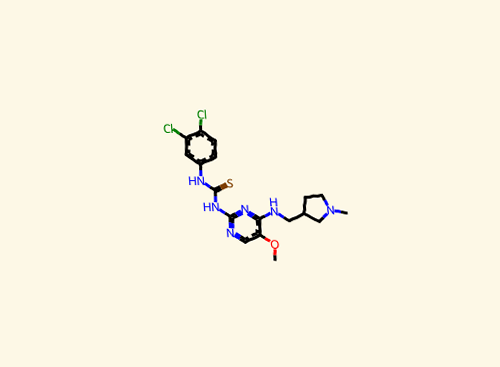 COc1cnc(NC(=S)Nc2ccc(Cl)c(Cl)c2)nc1NCC1CCN(C)C1